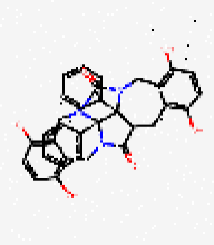 O=C1C2Cc3c(O)ccc(O)c3CN3C(=O)N4Cc5c(O)ccc(O)c5CN1[C@@]4(c1ccccc1)[C@@]23c1ccccc1